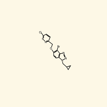 Clc1ccc(COc2ccc3c(nnn3CC3CC3)c2Br)nn1